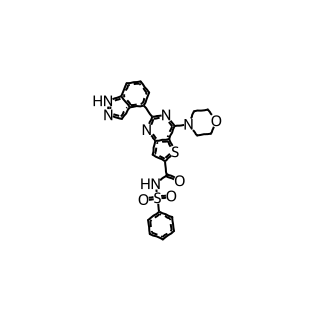 O=C(NS(=O)(=O)c1ccccc1)c1cc2nc(-c3cccc4[nH]ncc34)nc(N3CCOCC3)c2s1